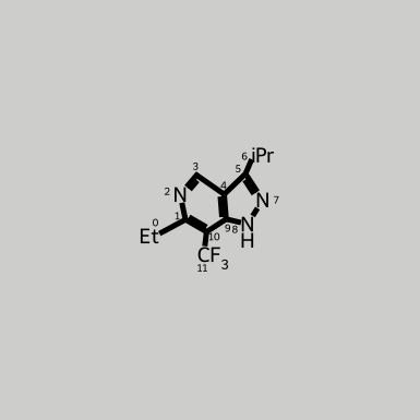 CCc1ncc2c(C(C)C)n[nH]c2c1C(F)(F)F